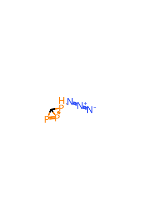 [N-]=[N+]=N[PH]1=P2=PC21